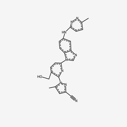 Cc1ccc(Nc2ccc3c(c2)ncn3-c2ccc(CO)c(-n3nc(C#N)cc3C)n2)nn1